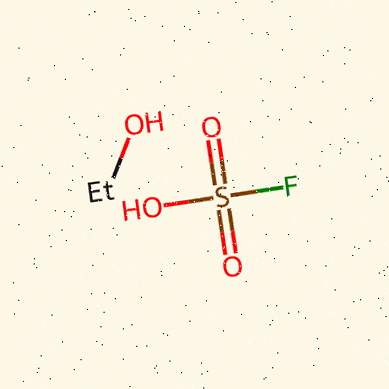 CCO.O=S(=O)(O)F